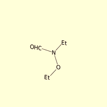 [CH2]CN(C=O)OCC